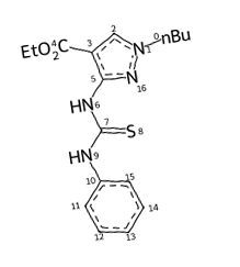 CCCCn1cc(C(=O)OCC)c(NC(=S)Nc2ccccc2)n1